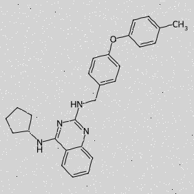 Cc1ccc(Oc2ccc(CNc3nc(NC4CCCC4)c4ccccc4n3)cc2)cc1